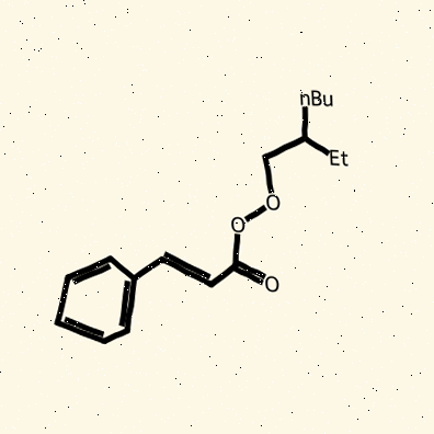 CCCCC(CC)COOC(=O)C=Cc1ccccc1